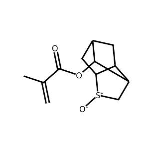 C=C(C)C(=O)OC1C2CC3C1C[S+]([O-])C3C2